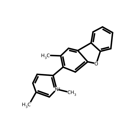 Cc1ccc(-c2cc3oc4ccccc4c3cc2C)[n+](C)c1